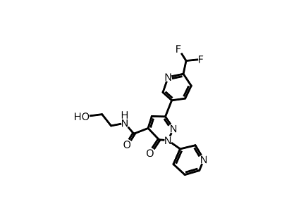 O=C(NCCO)c1cc(-c2ccc(C(F)F)nc2)nn(-c2cccnc2)c1=O